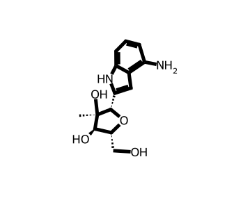 C[C@@]1(O)[C@H](O)[C@@H](CO)O[C@H]1c1cc2c(N)cccc2[nH]1